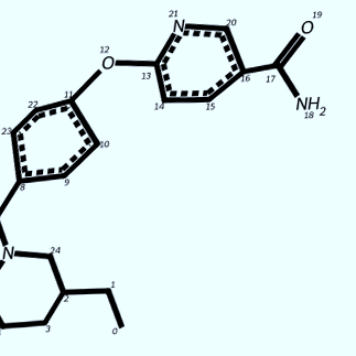 CCC1CCCN(Cc2ccc(Oc3ccc(C(N)=O)cn3)cc2)C1